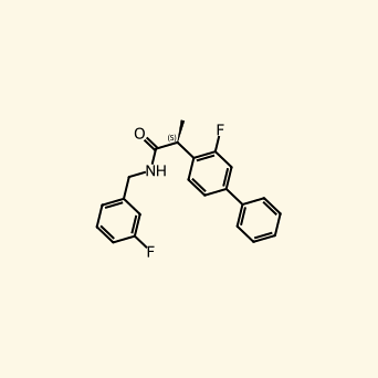 C[C@H](C(=O)NCc1cccc(F)c1)c1ccc(-c2ccccc2)cc1F